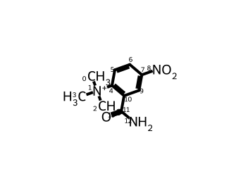 C[N+](C)(C)c1ccc([N+](=O)[O-])cc1C(N)=O